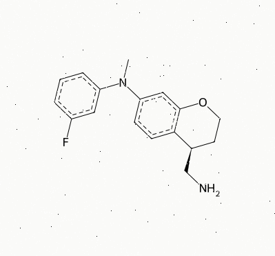 CN(c1cccc(F)c1)c1ccc2c(c1)OCC[C@H]2CN